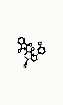 CC(C#N)[C@H]1CC[C@@H](c2cccc(Cl)c2)N1C(=O)[C@@H](C)N1C(=O)c2ccccc2C1=O